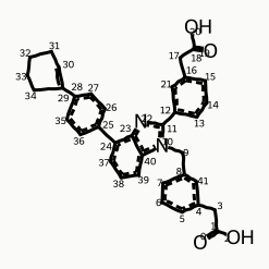 O=C(O)Cc1cccc(Cn2c(-c3cccc(CC(=O)O)c3)nc3c(-c4ccc(C5=CCCCC5)cc4)cccc32)c1